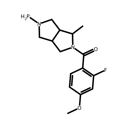 COc1ccc(C(=O)N2CC3CN(P)CC3C2C)c(F)c1